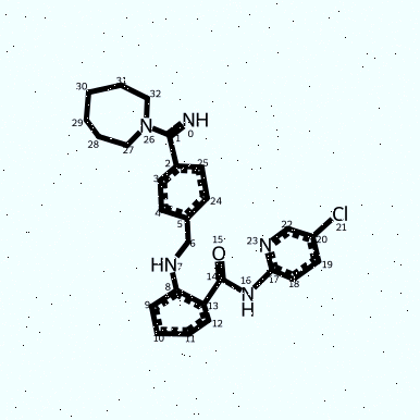 N=C(c1ccc(CNc2ccccc2C(=O)Nc2ccc(Cl)cn2)cc1)N1CCCCCC1